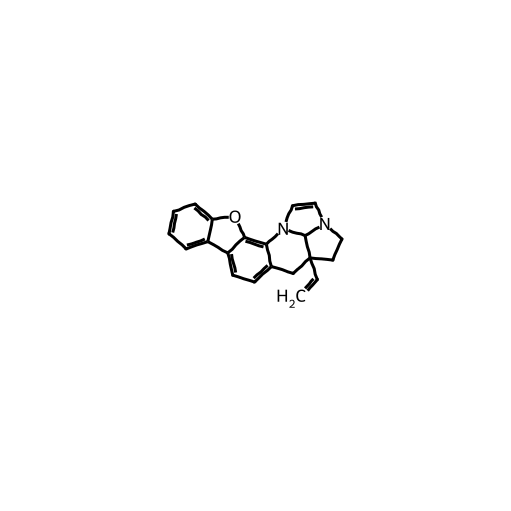 C=CC12CCN3C=CN(c4c(ccc5c4oc4ccccc45)C1)C32